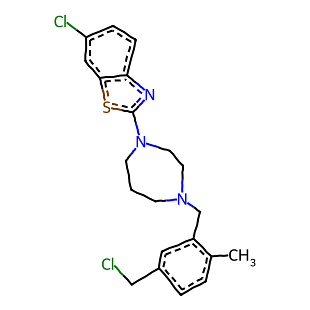 Cc1ccc(CCl)cc1CN1CCCN(c2nc3ccc(Cl)cc3s2)CC1